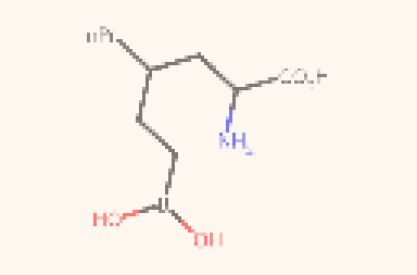 CCCC(CCB(O)O)CC(N)C(=O)O